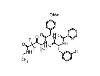 COc1ccc([C@H](NC(=O)[C@@H](Cc2cccc(Cl)c2)NC(=O)c2ccccn2)C(=O)N[C@H](C(=O)C(F)(F)C(=O)NCC(F)(F)F)C(C)C)cc1